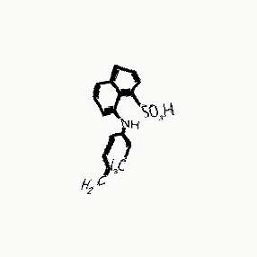 C=C/C=C\C(=C/C)Nc1cccc2cccc(S(=O)(=O)O)c12